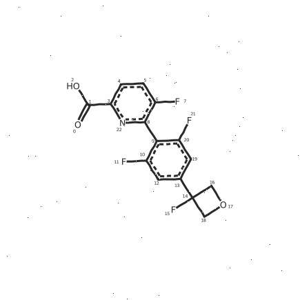 O=C(O)c1ccc(F)c(-c2c(F)cc(C3(F)COC3)cc2F)n1